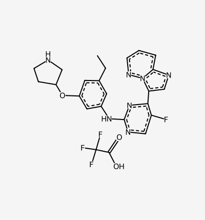 CCc1cc(Nc2ncc(F)c(-c3cnc4cccnn34)n2)cc(OC2CCNC2)c1.O=C(O)C(F)(F)F